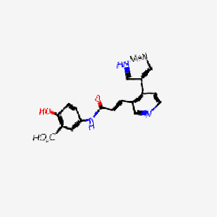 CN/C=C(\C=N)c1ccncc1/C=C/C(=O)Nc1ccc(O)c(C(=O)O)c1